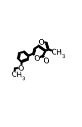 CCOc1cccc(-c2cc3occ(C)c3c(=O)o2)c1